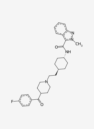 Cn1nc2ccccc2c1C(=O)N[C@H]1CC[C@H](CCN2CCC(C(=O)c3ccc(F)cc3)CC2)CC1